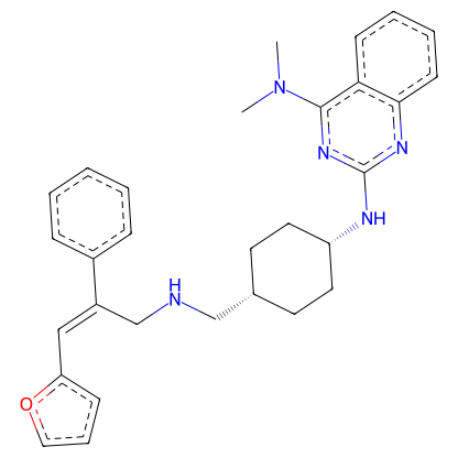 CN(C)c1nc(N[C@H]2CC[C@@H](CNC/C(=C\c3ccco3)c3ccccc3)CC2)nc2ccccc12